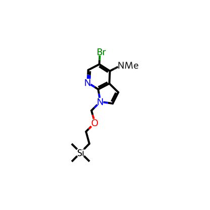 CNc1c(Br)cnc2c1ccn2COCC[Si](C)(C)C